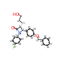 O=C1[C@H](CCCO)[C@@H](c2ccc(OCc3ccccc3)cc2)N1c1ccc(F)cc1